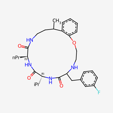 CCC[C@@H]1NC(=O)[C@@H](C(C)C)NC(=O)C(Cc2cccc(F)c2)NCCOc2ccccc2C(C)CCNC1=O